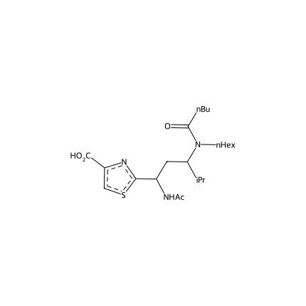 CCCCCCN(C(=O)CCCC)C(CC(NC(C)=O)c1nc(C(=O)O)cs1)C(C)C